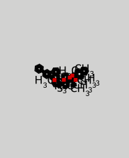 CC(C)(C)c1ccccc1-c1ccc2sc3cccc(N(c4ccc(-c5ccc6c(c5)C(C)(C)c5ccccc5C6(C)C)cc4)c4cccc5c4C(C)(C)c4ccc(-c6ccccc6)cc4-5)c3c2c1